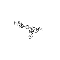 CC(=O)N1CCc2c(c(Nc3ccc(-c4cnn(C)c4)cc3)nn2[C@@H]2CCOC2)C1